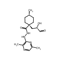 Cc1cnc(C)c(NNC(=O)[C@]2(CN(O)C=O)CC[C@@H](C)CC2)n1